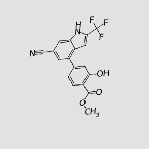 COC(=O)c1ccc(-c2cc(C#N)cc3[nH]c(C(F)(F)F)cc23)cc1O